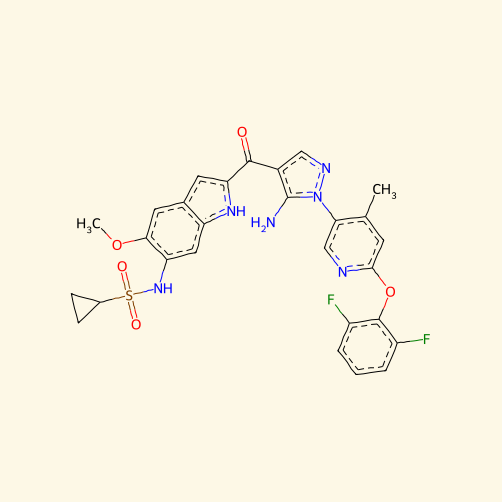 COc1cc2cc(C(=O)c3cnn(-c4cnc(Oc5c(F)cccc5F)cc4C)c3N)[nH]c2cc1NS(=O)(=O)C1CC1